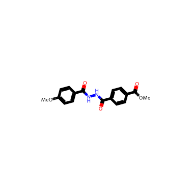 COC(=O)c1ccc(C(=O)NNC(=O)c2ccc(OC)cc2)cc1